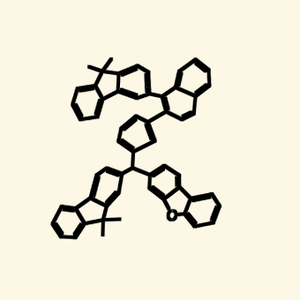 CC1(C)c2ccccc2-c2cc(-c3c(-c4cccc(C(c5ccc6c(c5)C(C)(C)c5ccccc5-6)c5ccc6c(c5)oc5ccccc56)c4)ccc4ccccc34)ccc21